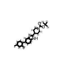 Cc1ccc(-c2ccc3[nH]c(C4CCN(C(=O)OC(C)(C)C)CC4)nc3c2)c(F)c1